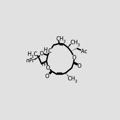 CCC[C@]1(C)C[C@H]2OC(=O)/C=C\[C@@H](C)CC(=O)O[C@@H](CC(C)=O)[C@H](C)/C=C(/C)CC[C@@H]2O1